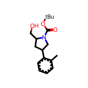 Cc1ccccc1C1CC(CO)N(C(=O)OC(C)(C)C)C1